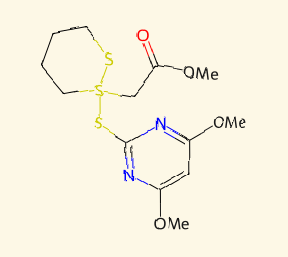 COC(=O)CS1(Sc2nc(OC)cc(OC)n2)CCCCS1